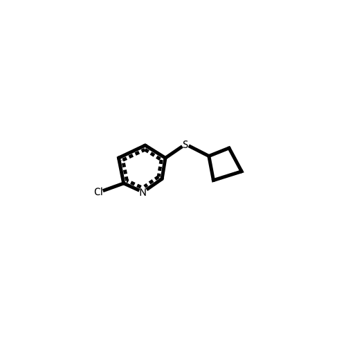 Clc1ccc(SC2CCC2)cn1